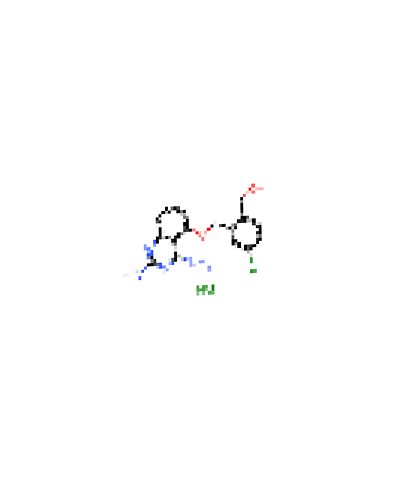 Cl.Nc1nc(N)c2c(OCc3cc(Cl)ccc3CO)cccc2n1